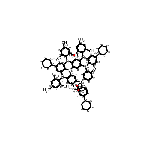 Cc1cc(C)c(N2c3cc4c(cc3B3c5ccccc5Oc5cc(C6CCCCC6)cc2c53)B2c3cc5c(cc3N(c3c(C)cc(C)cc3C)c3cc(C6CCCCC6)cc(c32)N4c2c(C)cc(C)cc2C)Nc2cc(C3CCCCC3)cc3c2B5c2ccccc2O3)c(C)c1